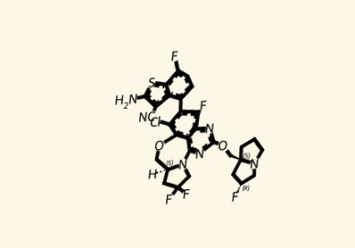 N#Cc1c(N)sc2c(F)ccc(-c3c(Cl)c4c5c(nc(OC[C@@]67CCCN6C[C@H](F)C7)nc5c3F)N3CC(F)(F)C[C@H]3CO4)c12